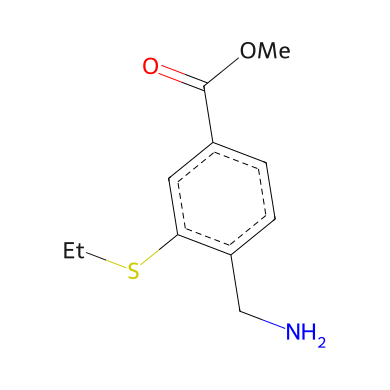 CCSc1cc(C(=O)OC)ccc1CN